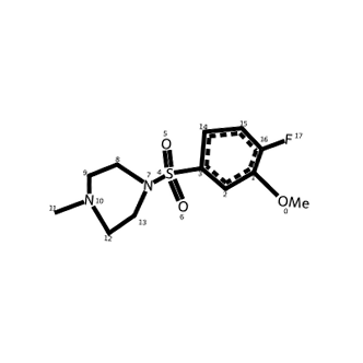 COc1cc(S(=O)(=O)N2CCN(C)CC2)ccc1F